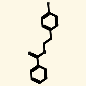 O=C(OCCc1ccc(F)cc1)c1ccccc1